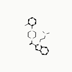 CN(C)CCn1c(C(=O)N2CCN(c3ccccc3Cl)CC2)cc2ccccc21